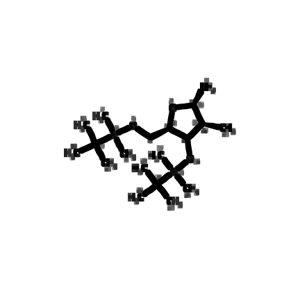 B[C@@H]1O[C@H](CO[Si](C)(C)C(C)(C)C)C(O[Si](C)(C)C(C)(C)C)[C@@H]1C